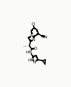 C[C@@H](C(=O)Nc1cc(C2CC2)n[nH]1)c1cn2cc(Cl)cc(C#N)c2n1